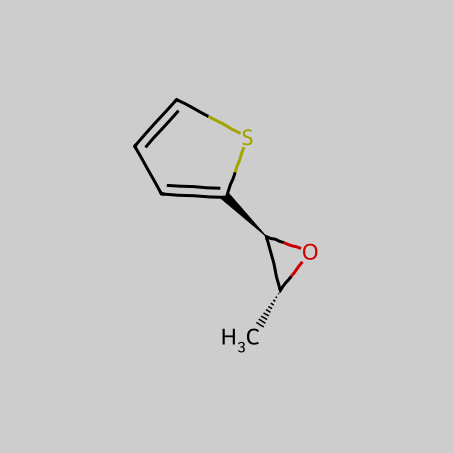 C[C@H]1O[C@@H]1c1cccs1